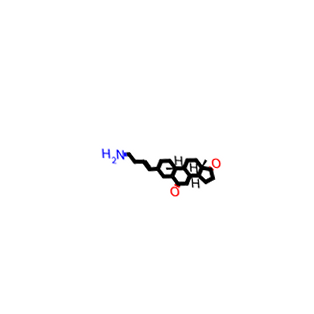 C[C@]12CCC(C=CCCN)CC1C(=O)C[C@@H]1[C@H]2CC[C@]2(C)C(=O)CC[C@@H]12